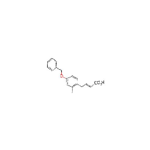 Cc1cc(OCc2ccccc2)ccc1CC=CC(=O)O